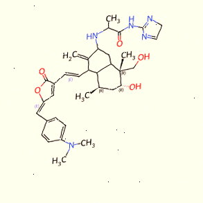 C=C1C(NC(C)C(=O)NC2=NCC=N2)CC2C(C1/C=C/C1=CC(=C\c3ccc(N(C)C)cc3)/OC1=O)[C@H](C)C[C@@H](O)[C@@]2(C)CO